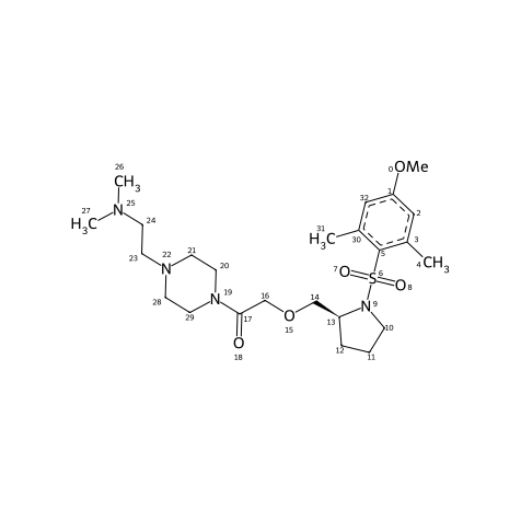 COc1cc(C)c(S(=O)(=O)N2CCC[C@H]2COCC(=O)N2CCN(CCN(C)C)CC2)c(C)c1